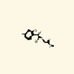 COC(=O)CSC(Br)C(=O)c1ccc(C)cc1Cl